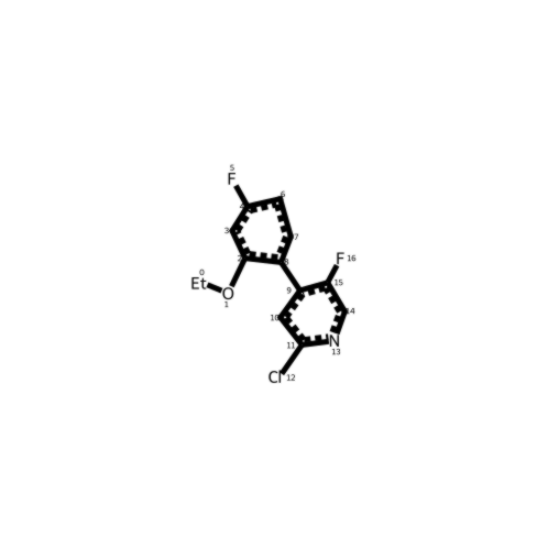 CCOc1cc(F)ccc1-c1cc(Cl)ncc1F